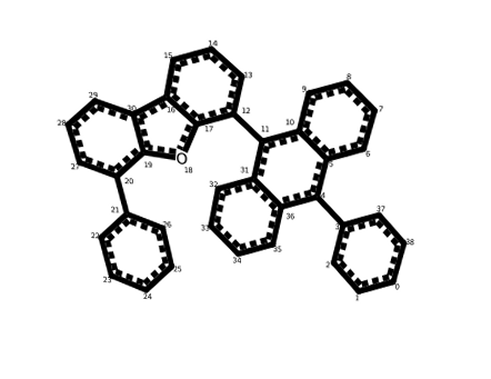 c1ccc(-c2c3ccccc3c(-c3cccc4c3oc3c(-c5ccccc5)cccc34)c3ccccc23)cc1